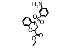 CCOC(=O)C1CN(S(=O)(=O)c2cccc(N)c2)c2ccccc2O1